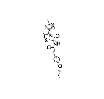 CCCCOc1ccc(CCC(=O)N[C@@H]2C(=O)N3C(c4nc(C)no4)=C(C)CSC23)cc1